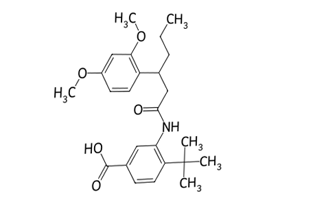 CCCC(CC(=O)Nc1cc(C(=O)O)ccc1C(C)(C)C)c1ccc(OC)cc1OC